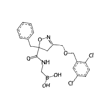 O=C(NCB(O)O)C1(Cc2ccccc2)CC(COCc2cc(Cl)ccc2Cl)=NO1